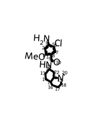 COc1cc(N)c(Cl)cc1C(=O)NC1CCC2CCCN(C)C2C1